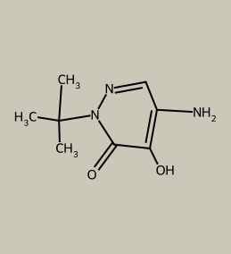 CC(C)(C)n1ncc(N)c(O)c1=O